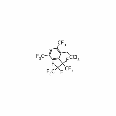 FC(F)(F)c1[c]c(C(F)(F)F)c(CC(Cl)(Cl)Cl)c(C(F)(C(F)(F)F)C(F)(F)C(F)(F)F)c1